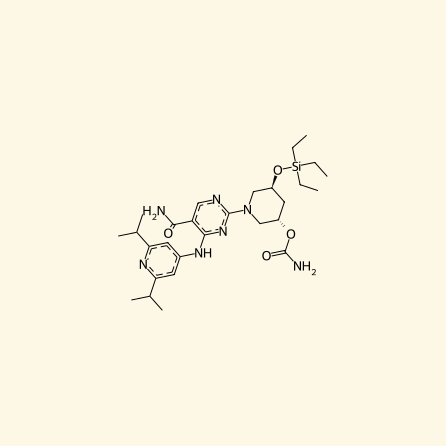 CC[Si](CC)(CC)O[C@H]1C[C@H](OC(N)=O)CN(c2ncc(C(N)=O)c(Nc3cc(C(C)C)nc(C(C)C)c3)n2)C1